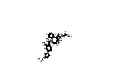 Cc1ccn(-c2ccc(C(=O)N3CCC(F)(F)C(=CC(=O)NCC(=O)O)c4ccccc43)c(Cl)c2)n1